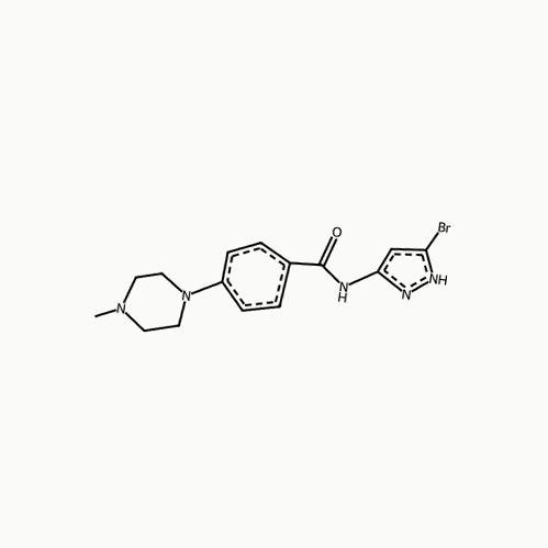 CN1CCN(c2ccc(C(=O)Nc3cc(Br)[nH]n3)cc2)CC1